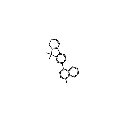 CC1(C)C2=C(C=CCC2)c2ccc(-c3ccc(I)c4ccccc34)cc21